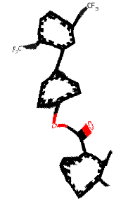 Cc1cccc(C(=O)Oc2ccc(-c3cc(C(F)(F)F)ccc3C(F)(F)F)cc2)c1C